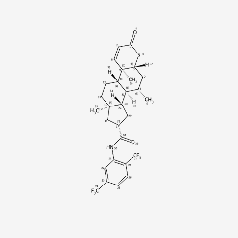 C[C@H]1C[C@H]2SC(=O)C=C[C@]2(C)[C@H]2CC[C@]3(C)C[C@@H](C(=O)Nc4cc(C(F)(F)F)ccc4C(F)(F)F)C[C@H]3[C@H]12